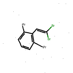 CC(C)c1cccc(C(C)C)c1C=C(Br)Br